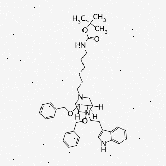 CC(C)(C)OC(=O)NCCCCCCN1C[C@H]2[C@@H](OCc3ccccc3)[C@H](OCc3ccccc3)C1CN2CCc1c[nH]c2ccccc12